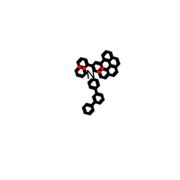 c1ccc(-c2cccc(-c3ccc(N(c4ccccc4)c4ccc(-c5cccc6ccc7ccc8ccccc8c7c56)cc4-c4ccccc4)cc3)c2)cc1